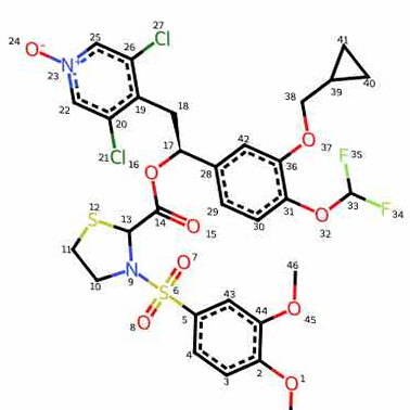 COc1ccc(S(=O)(=O)N2CCSC2C(=O)O[C@@H](Cc2c(Cl)c[n+]([O-])cc2Cl)c2ccc(OC(F)F)c(OCC3CC3)c2)cc1OC